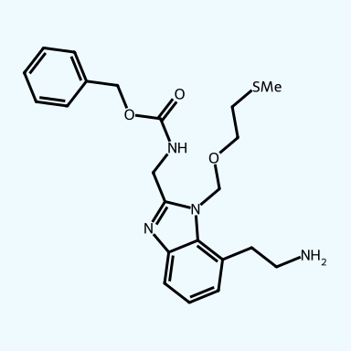 CSCCOCn1c(CNC(=O)OCc2ccccc2)nc2cccc(CCN)c21